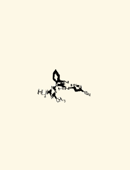 Cc1nc(N)nc(-n2c(Nc3cc(C(C)(C)C)n[nH]3)nc3ccccc32)n1